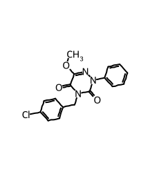 COc1nn(-c2ccccc2)c(=O)n(Cc2ccc(Cl)cc2)c1=O